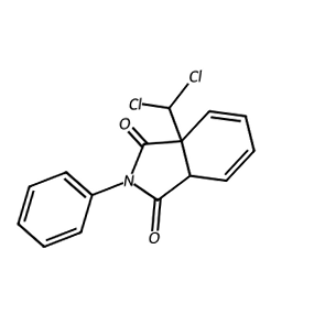 O=C1C2C=CC=CC2(C(Cl)Cl)C(=O)N1c1ccccc1